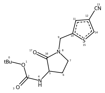 CC(C)(C)OC(=O)NC1CCN(Cc2cc(C#N)cs2)C1=O